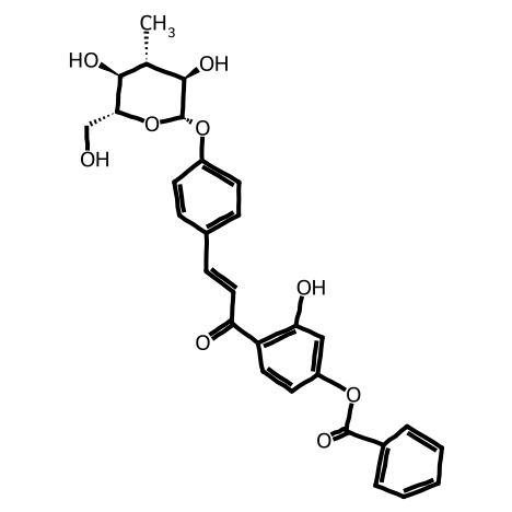 C[C@@H]1[C@@H](O)[C@H](Oc2ccc(/C=C/C(=O)c3ccc(OC(=O)c4ccccc4)cc3O)cc2)O[C@H](CO)[C@H]1O